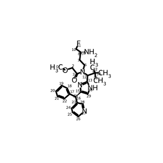 COCC(=O)N(CC[C@@H](N)CF)C(c1nc([C@H](c2ccccc2)c2cccnc2)c[nH]1)C(C)(C)C